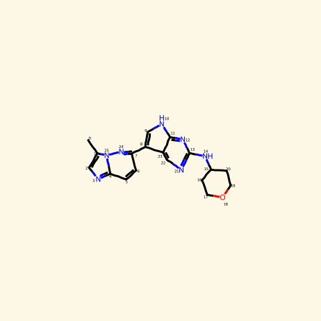 Cc1cnc2ccc(-c3c[nH]c4nc(NC5CCOCC5)ncc34)nn12